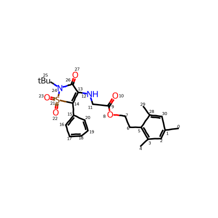 Cc1cc(C)c(CCOC(=O)CNC2=C(c3ccccc3)S(=O)(=O)N(C(C)(C)C)C2=O)c(C)c1